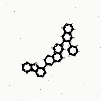 C1=C(c2cccc3c2sc2ccccc23)CCc2c1ccc1cc(-c3cc4ccccc4cc3-c3ccccc3)ccc21